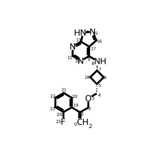 C=C(COC[C@H]1C[C@@H](Nc2ncnc3[nH]ncc23)C1)c1ccccc1F